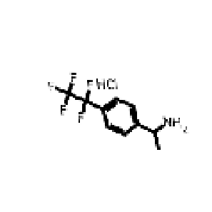 CC(N)c1ccc(C(F)(F)C(F)(F)F)cc1.Cl